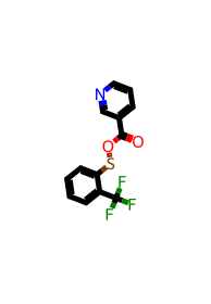 O=C(OSc1ccccc1C(F)(F)F)c1cccnc1